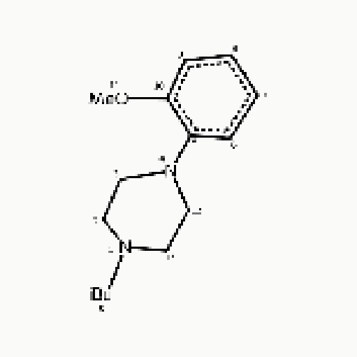 [CH2]C(CC)N1CCN(c2ccccc2OC)CC1